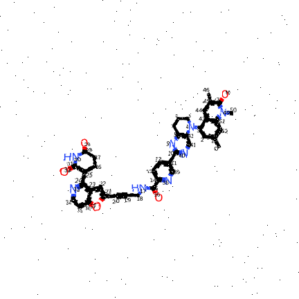 Cc1cc(N2CCCc3nc(-c4ccc(C(=O)NCC#Cc5cc6c(C7CCC(=O)NC7=O)nccc6o5)nc4)ncc32)c2cc(C)c(=O)n(C)c2c1